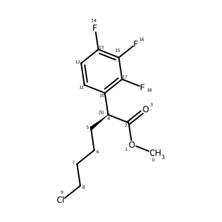 COC(=O)[C@@H](CCCCCl)c1ccc(F)c(F)c1F